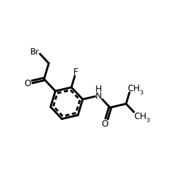 CC(C)C(=O)Nc1cccc(C(=O)CBr)c1F